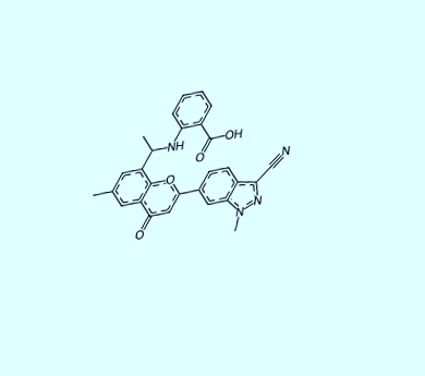 Cc1cc(C(C)Nc2ccccc2C(=O)O)c2oc(-c3ccc4c(C#N)nn(C)c4c3)cc(=O)c2c1